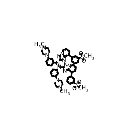 CN1CCN(c2cccc(N(c3nc4c(-c5cccc(S(C)(=O)=O)c5)cccn4n3)N(c3cccc(N4CCN(C)CC4)c3)c3nc4c(-c5cccc(S(C)(=O)=O)c5)cccn4n3)c2)CC1